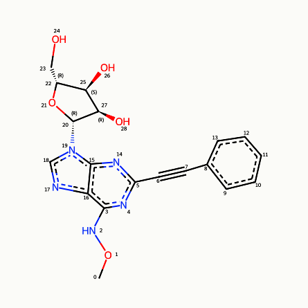 CONc1nc(C#Cc2ccccc2)nc2c1ncn2[C@@H]1O[C@H](CO)[C@@H](O)[C@H]1O